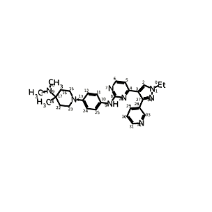 CCn1cc(-c2ccnc(Nc3ccc(N4CCC(C)(N(C)C)CC4)cc3)n2)c(-c2cccnc2)n1